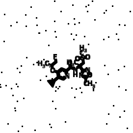 Cc1nc([C@](C)(CS(C)(=O)=O)NC(=O)c2cc(O[C@H](C)CF)c(C3CC3)cn2)no1